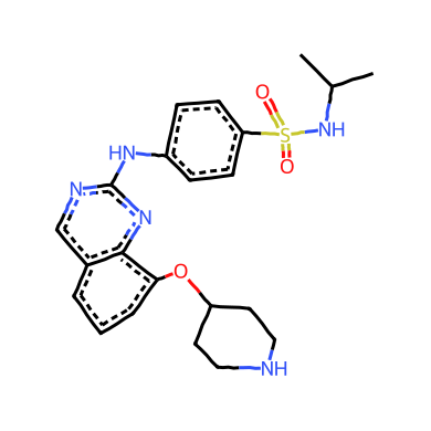 CC(C)NS(=O)(=O)c1ccc(Nc2ncc3cccc(OC4CCNCC4)c3n2)cc1